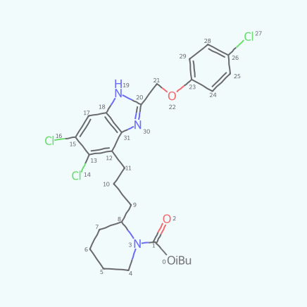 CC(C)COC(=O)N1CCCCC1CCCc1c(Cl)c(Cl)cc2[nH]c(COc3ccc(Cl)cc3)nc12